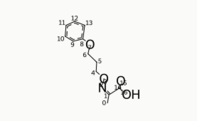 CC(=NOCCCOc1ccccc1)C(=O)O